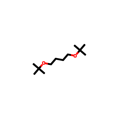 CC(C)(C)OCCCCOC(C)(C)C